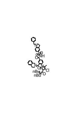 CCCCN(CCCC)C(=O)c1nn(-c2ccc(C(=O)NS(=O)(=O)c3ccc4c(c3)CCN4Cc3ccccc3)cc2C(=O)N2CCc3ccccc3C2)c(C)c1Cl